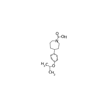 CC(C)Oc1ccc(C2CCCN(C(=O)O)CC2)cc1